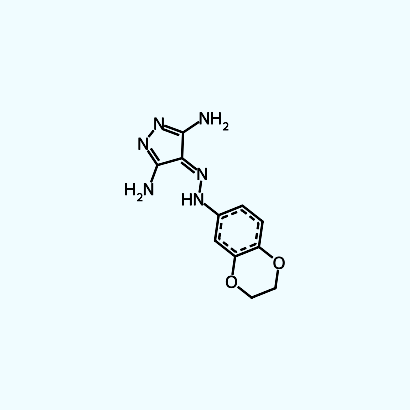 NC1=NN=C(N)C1=NNc1ccc2c(c1)OCCO2